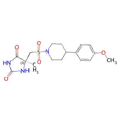 COc1ccc(C2CCN(S(=O)(=O)C[C@@]3(C)NC(=O)NC3=O)CC2)cc1